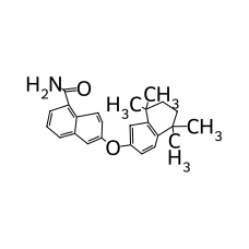 CC1(C)CCC(C)(C)c2cc(Oc3ccc4c(C(N)=O)cccc4c3)ccc21